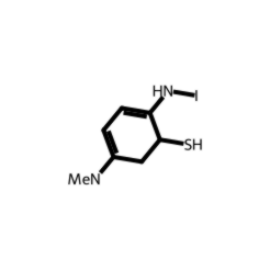 CNC1=CC=C(NI)C(S)C1